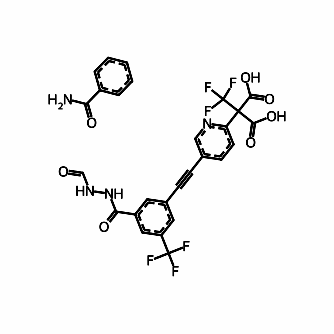 NC(=O)c1ccccc1.O=CNNC(=O)c1cc(C#Cc2ccc(C(C(=O)O)(C(=O)O)C(F)(F)F)nc2)cc(C(F)(F)F)c1